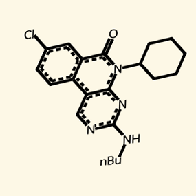 CCCCNc1ncc2c3ccc(Cl)cc3c(=O)n(C3CCCCC3)c2n1